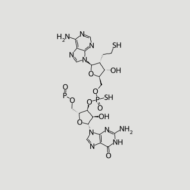 Nc1nc2c(ncn2[C@@H]2O[C@H](COP=O)[C@@H](OP(=O)(S)OC[C@H]3O[C@@H](n4cnc5c(N)ncnc54)[C@H](CCS)[C@@H]3O)[C@H]2O)c(=O)[nH]1